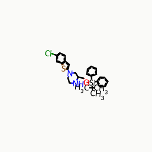 CC(C)(C)[Si](OCC1CN(c2cc3ccc(Cl)cc3s2)CCN1)(c1ccccc1)c1ccccc1